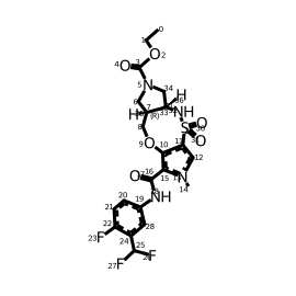 CCOC(=O)N1C[C@H]2COc3c(cn(C)c3C(=O)Nc3ccc(F)c(C(F)F)c3)S(=O)(=O)N[C@H]2C1